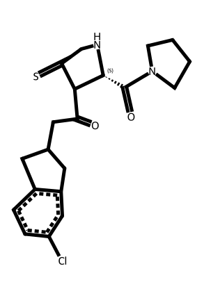 O=C(CC1Cc2ccc(Cl)cc2C1)C1C(=S)CN[C@@H]1C(=O)N1CCCC1